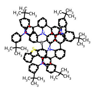 CC(C)(C)c1ccc(N(c2cccc(C(C)(C)C)c2)c2ccc3c(c2)N(c2c(-c4ccccc4)cccc2-c2ccccc2)c2cc(-n4c5ccc(C(C)(C)C)cc5c5cc(C(C)(C)C)ccc54)cc4c2B3c2c(cc(N(c3ccc(C(C)(C)C)cc3)c3cccc(C(C)(C)C)c3)c3c2sc2ccccc23)N4c2c(-c3ccccc3)cccc2-c2ccccc2)cc1